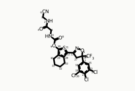 N#CCNC(=O)CNC(=O)Oc1sc(C2=NOC(c3cc(Cl)c(Cl)c(Cl)c3)(C(F)(F)F)C2)c2c1CCCC2